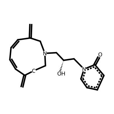 C=C1/C=C\C=C/C(=C)CN(C[C@@H](O)Cn2ccccc2=O)CC1